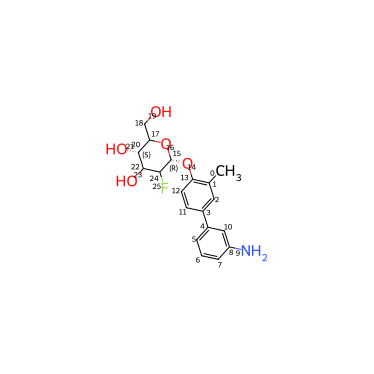 Cc1cc(-c2cccc(N)c2)ccc1O[C@H]1OC(CO)[C@@H](O)C(O)C1F